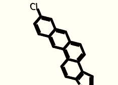 Clc1ccc2cc3c(ccc4c5ccoc5ccc34)cc2c1